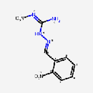 N/C(=N/[N+](=O)[O-])N/N=C/c1ccccc1[N+](=O)[O-]